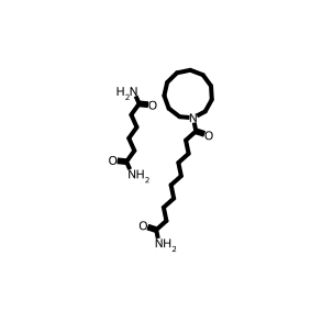 NC(=O)CCCCC(N)=O.NC(=O)CCCCCCCCC(=O)N1CCCCCCCCCC1